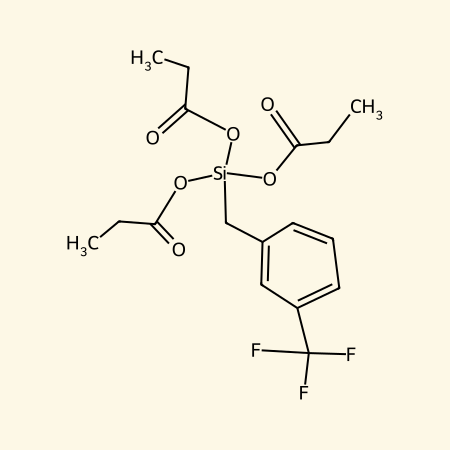 CCC(=O)O[Si](Cc1cccc(C(F)(F)F)c1)(OC(=O)CC)OC(=O)CC